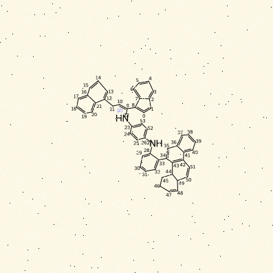 C1=Cc2ccccc2C=1/C(=C/Cc1cccc2ccccc12)Nc1ccc(Nc2ccccc2-c2cc3ccccc3c3c2C2CCC=CC2C=C3)cc1